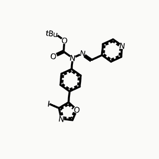 CC(C)(C)OC(=O)N(N=Cc1ccncc1)c1ccc(-c2ocnc2I)cc1